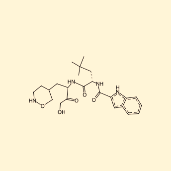 CC(C)(C)C[C@H](NC(=O)c1cc2ccccc2[nH]1)C(=O)NC(CC1CCNOC1)C(=O)CO